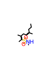 CCC/C(C)=C\CC(C)=C(C)S(=O)(=O)NC